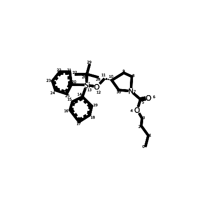 CCCCOC(=O)N1CC[C@@H](CO[Si](c2ccccc2)(c2ccccc2)C(C)(C)C)C1